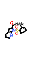 CNC(=O)c1cc2cccnc2n1S(=O)(=O)c1ccccc1C